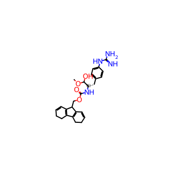 COC(O)[C@H](Cc1ccc(NC(=N)N)cc1)NC(=O)OCC1C2=C(CCC=C2)C2=C1C=CCC2